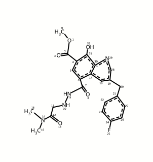 COC(=O)c1cc(C(=O)NNCC(=O)N(C)C)c2cc(Cc3ccc(F)cc3)cnc2c1O